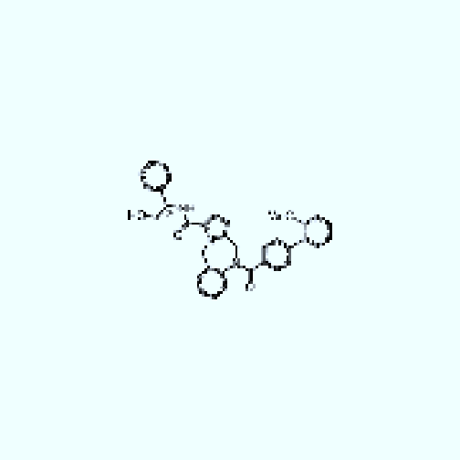 COc1ccccc1-c1ccc(C(=O)N2Cc3ccc(C(=O)N[C@@H](CO)c4ccccc4)n3Cc3ccccc32)cc1